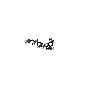 CN(C(=O)CC1CC(F)(F)C1)c1cnc2nc(-c3n[nH]c4c3C[C@@H]3C[C@]3(C)C4)[nH]c2c1